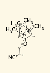 CN1C2(C)CCC(C(OCCC#N)C2)C1(C)C